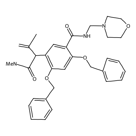 C=C(C)C(C(=O)NC)c1cc(C(=O)NCN2CCOCC2)c(OCc2ccccc2)cc1OCc1ccccc1